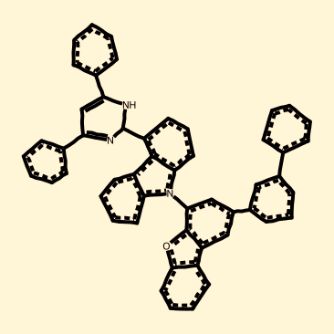 C1=C(c2ccccc2)NC(c2cccc3c2c2ccccc2n3-c2cc(-c3cccc(-c4ccccc4)c3)cc3c2oc2ccccc23)N=C1c1ccccc1